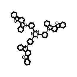 c1cc(-c2nc(-c3ccc(-n4c5ccccc5c5c6oc7ccccc7c6ccc54)cc3)nc(-c3cccc(-n4c5ccccc5c5c6oc7ccccc7c6ccc54)c3)n2)cc(-n2c3ccccc3c3c4oc5ccccc5c4ccc32)c1